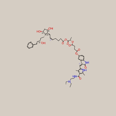 CCN(CC)CCNC(=O)c1c(C)[nH]c(/C=C2\C(=O)Nc3ccc(OC(=O)CCC(=O)OC(C)C(=O)OC(=O)CCC/C=C\C[C@H]4[C@H](CC[C@H](O)CCc5ccccc5)[C@@H](O)C[C@H]4O)cc32)c1C